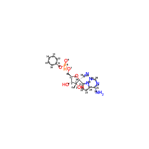 C[C@@]1(O)[C@H](O)[C@@H](CO[PH](=O)Oc2ccccc2)O[C@@]1(C#N)c1ccc2c(N)ncnn12